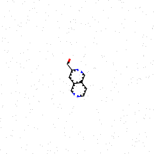 O=Cc1cc2cnccc2cn1